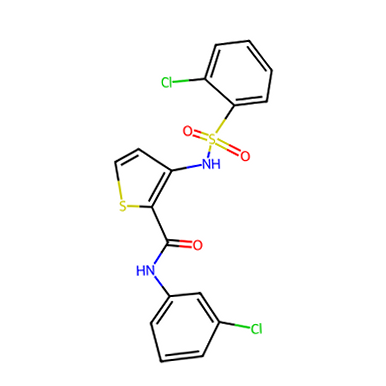 O=C(Nc1cccc(Cl)c1)c1sccc1NS(=O)(=O)c1ccccc1Cl